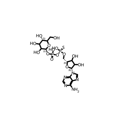 Nc1ncnc2c1ncn2[C@@H]1O[C@H](COP(O)(=S)OP(=O)(O)O[C@@H]2OC(CO)[C@@H](O)C(O)C2O)C(O)C1O